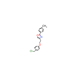 Cc1ccc(-c2nc(CCOc3ccc(CCl)cc3)co2)cc1